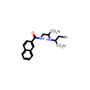 CC(C)CC(NC(CNC(=O)c1ccc2ccccc2c1)C(=O)O)C(=O)O